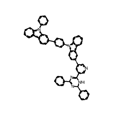 c1ccc(C2=NC(c3ccccc3)NC(c3cncc(-c4ccc5c(c4)c4ccccc4n5-c4ccc(-c5ccc6c7ccccc7n(-c7ccccc7)c6c5)cc4)c3)=N2)cc1